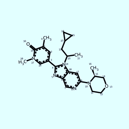 Cc1cc(-c2nc3cnc(N4CCOC[C@@H]4C)cc3n2C(C)CC2CC2)cn(C)c1=O